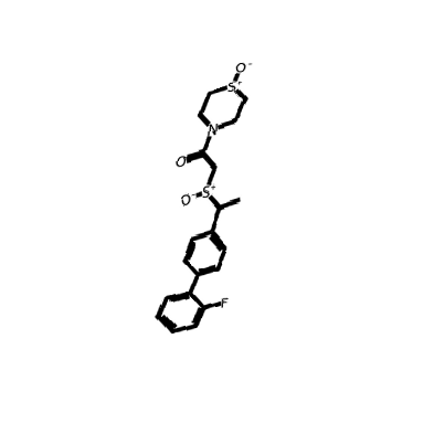 CC(c1ccc(-c2ccccc2F)cc1)[S+]([O-])CC(=O)N1CC[S+]([O-])CC1